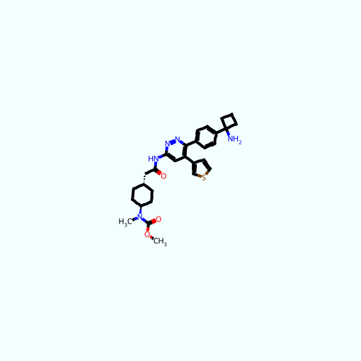 COC(=O)N(C)[C@H]1CC[C@H](CC(=O)Nc2cc(-c3ccsc3)c(-c3ccc(C4(N)CCC4)cc3)nn2)CC1